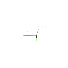 Cl.O=CC(F)CF